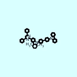 CC12CCCCC1(C)N(c1ccc(-c3ccc(-n4c5ccccc5c5ccccc54)cc3)cc1)c1ccc(-c3nc(-c4ccccc4)cc(-c4ccccc4)n3)cc12